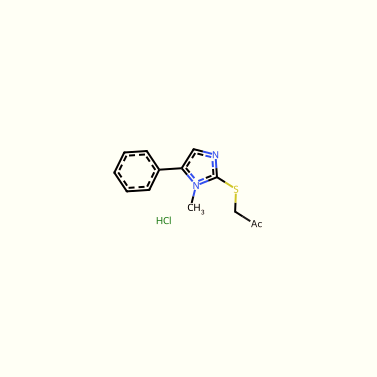 CC(=O)CSc1ncc(-c2ccccc2)n1C.Cl